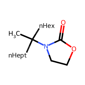 CCCCCCCC(C)(CCCCCC)N1CCOC1=O